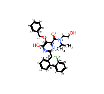 CC(C)N(CCO)C(=O)c1nc(Cc2ccccc2-c2ccccc2Cl)nc(O)c1OCc1ccccc1